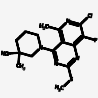 CSc1nc(N2CCCC(C)(O)C2)c2c(C)nc(Cl)c(F)c2n1